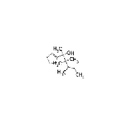 CCC(C)C(C)(C)C(C)(O)C1=CCCC1